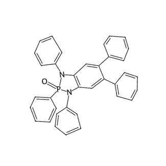 O=P1(c2ccccc2)N(c2ccccc2)c2cc(-c3ccccc3)c(-c3ccccc3)cc2N1c1ccccc1